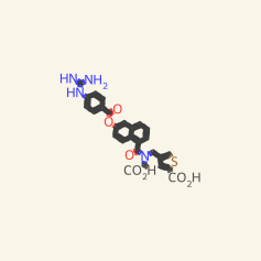 N=C(N)Nc1ccc(C(=O)Oc2ccc3c(C(=O)N(CC(=O)O)Cc4csc(C(=O)O)c4)cccc3c2)cc1